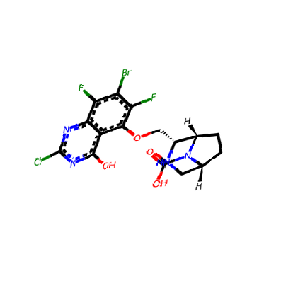 O=C(O)N1[C@@H]2CC[C@H]1[C@@H](COc1c(F)c(Br)c(F)c3nc(Cl)nc(O)c13)NC2